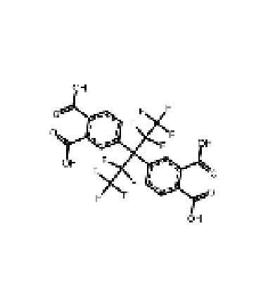 O=C(O)c1ccc(C(c2ccc(C(=O)O)c(C(=O)O)c2)(C(F)(F)C(F)(F)F)C(F)(F)C(F)(F)F)cc1C(=O)O